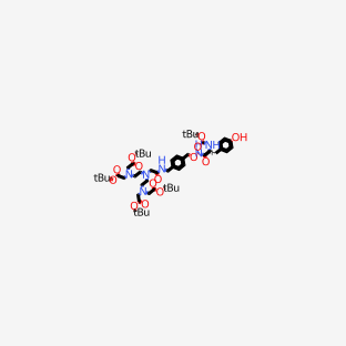 CC(C)(C)OC(=O)CN(CCN(CCN(CC(=O)OC(C)(C)C)CC(=O)OC(C)(C)C)CC(=O)NCc1ccc(CONC(=O)[C@@H](Cc2ccc(O)cc2)NC(=O)OC(C)(C)C)cc1)CC(=O)OC(C)(C)C